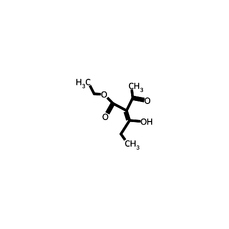 CCOC(=O)/C(C(C)=O)=C(/O)CC